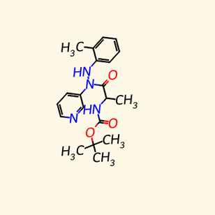 Cc1ccccc1NN(C(=O)C(C)NC(=O)OC(C)(C)C)c1cccnc1